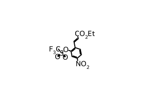 CCOC(=O)C=Cc1ccc([N+](=O)[O-])cc1OS(=O)(=O)C(F)(F)F